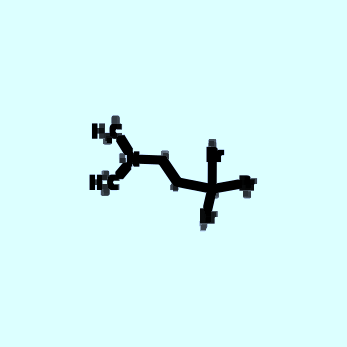 CN(C)CCC(Br)(Br)Br